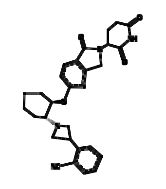 N#Cc1ccccc1C1CN([C@@H]2CCCC[C@H]2Oc2ccc3c(c2)CN(C2CCC(=O)NC2=O)C3=O)C1